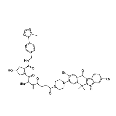 CCc1cc2c(cc1N1CCN(C(=O)CCC(=O)NC(C(=O)N3C[C@H](O)C[C@H]3C(=O)NCc3ccc(-c4scnc4C)cc3)C(C)(C)C)CC1)C(C)(C)c1[nH]c3cc(C#N)ccc3c1C2=O